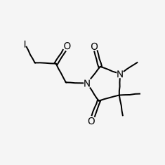 CN1C(=O)N(CC(=O)CI)C(=O)C1(C)C